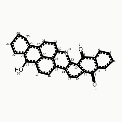 O=c1c2ccccc2c(=O)c2c1ccc1c3ccc4c(O)c5ccccc5c5ccc(nc12)c3c45